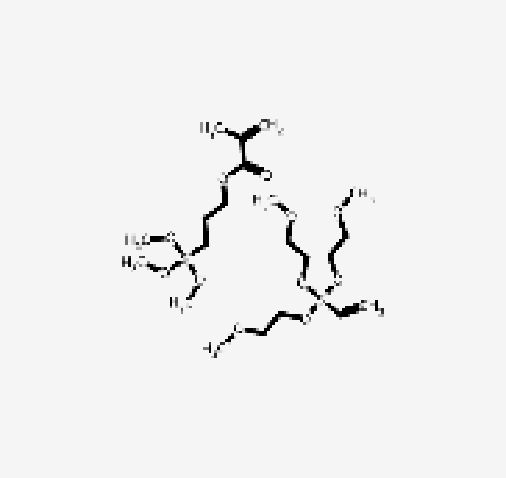 C=C(C)C(=O)OCCC[Si](OC)(OC)OC.C=C[Si](OCCOC)(OCCOC)OCCOC